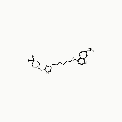 FC1(F)CCN(Cc2cn(CCCCCCSc3ccnc4cc(C(F)(F)F)ccc34)cn2)CC1